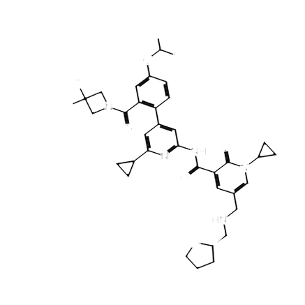 O=C(Nc1cc(-c2ccc(OC(F)F)cc2C(=O)N2CC(F)(F)C2)cc(C2CC2)n1)c1cc(CNC[C@H]2CCCO2)cn(C2CC2)c1=O